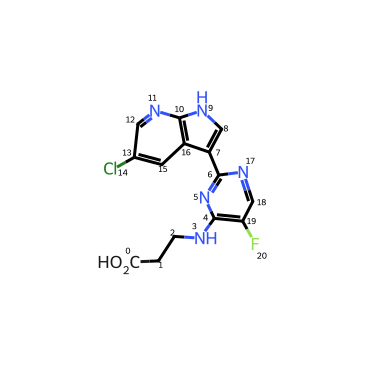 O=C(O)CCNc1nc(-c2c[nH]c3ncc(Cl)cc23)ncc1F